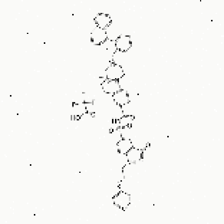 O=C(NS(=O)(=O)c1ccc(NCCSc2ccccc2)c([N+](=O)[O-])c1)c1ccc2c(c1)CC[C@H]1CN(Cc3ccccc3-c3cccc4ccccc34)CCN21.O=C(O)C(F)(F)F